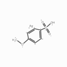 COc1ccc(S(=O)(=O)O)cc1.[Ag]